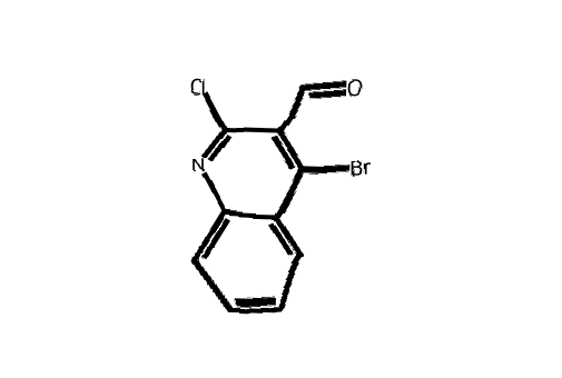 O=Cc1c(Cl)nc2ccccc2c1Br